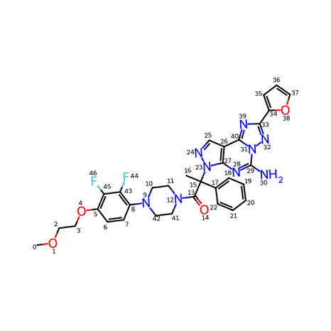 COCCOc1ccc(N2CCN(C(=O)C(C)(c3ccccc3)n3ncc4c3nc(N)n3nc(-c5ccco5)nc43)CC2)c(F)c1F